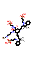 CC1(C)C(/C=C/C2=CC(=C/C=C3/N(CCCS(=O)(=O)O)c4ccccc4C3(C)C)/CC(C(=O)NCCCN=C=S)(C(=O)NCCS(=O)(=O)O)C2)=[N+](CCCS(=O)(=O)O)c2ccccc21